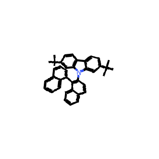 CC(C)(C)c1ccc2c3ccc(C(C)(C)C)cc3n(-c3ccc4ccccc4c3-c3cccc4ccccc34)c2c1